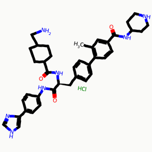 Cc1cc(C(=O)NC2CCNCC2)ccc1-c1ccc(C[C@H](NC(=O)C2CCC(CN)CC2)C(=O)Nc2ccc(-c3c[nH]cn3)cc2)cc1.Cl